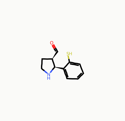 O=C[C@@H]1CCN[C@@H]1c1ccccc1S